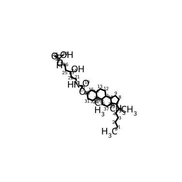 CCCCCC(C)C1CCC2C3CCC4C[C@@H](OC(=O)NCCC(O)CCO[PH](=O)O)CCC4(C)C3CCC12C